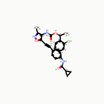 Cc1noc(C#Cc2ccc(NC(=O)C3CC3)cc2)c1NC(=O)OC(C)c1ccccc1Cl